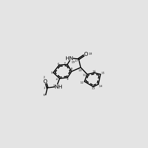 CC(=O)Nc1ccc2c(c1)C(c1ccccc1)C(=O)N2